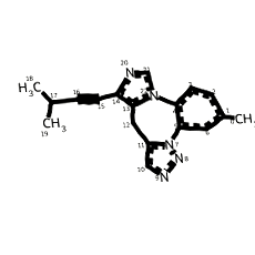 Cc1ccc2c(c1)-n1nncc1Cc1c(C#CC(C)C)ncn1-2